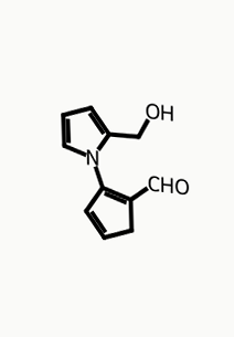 O=CC1=C(n2cccc2CO)C=CC1